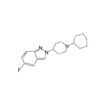 Fc1ccc2nn(C3CCN(C4CCCCC4)CC3)cc2c1